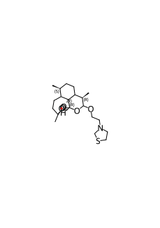 C[C@H]1C(OCCN2CCSC2)O[C@@H]2OC3(C)CCC4[C@@H](C)CCC1[C@]42OO3